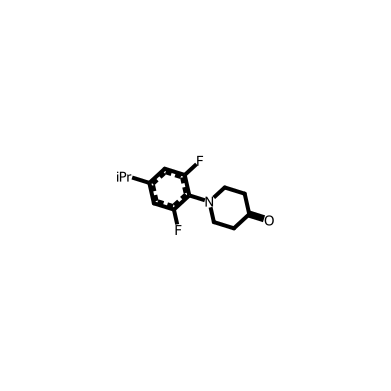 CC(C)c1cc(F)c(N2CCC(=O)CC2)c(F)c1